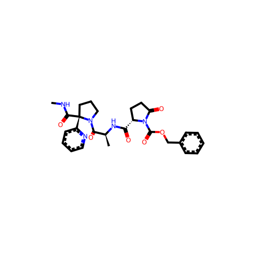 CNC(=O)[C@]1(c2ccccn2)CCCN1C(=O)[C@H](C)NC(=O)[C@@H]1CCC(=O)N1C(=O)OCc1ccccc1